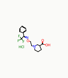 Cl.O=C(O)C1CCCN(CCON=C(c2ccccc2)C(F)(F)F)C1